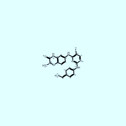 C[C@@H]1Oc2ccc(Nc3nc(NC4=CCC(=CN)C=C4)ncc3F)cc2NC1=O